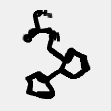 CC(=O)NCc1ccccc1-c1ccccc1